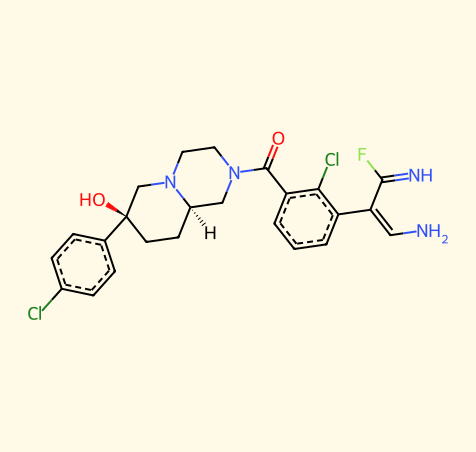 N=C(F)/C(=C\N)c1cccc(C(=O)N2CCN3C[C@@](O)(c4ccc(Cl)cc4)CC[C@@H]3C2)c1Cl